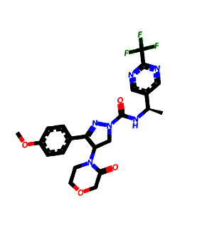 COc1ccc(C2=NN(C(=O)N[C@H](C)c3cnc(C(F)(F)F)nc3)CC2N2CCOCC2=O)cc1